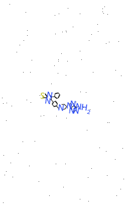 Nc1ncnc2c1ncn2C1CCN(Cc2ccc(-c3nc4cscc4nc3-c3ccccc3)cc2)CC1